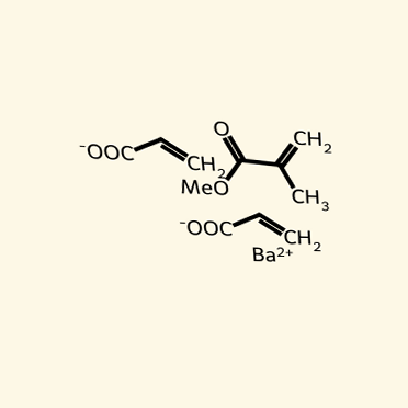 C=C(C)C(=O)OC.C=CC(=O)[O-].C=CC(=O)[O-].[Ba+2]